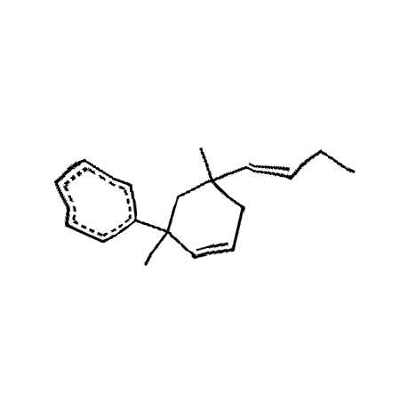 CCC=CC1(C)CC=CC(C)(c2ccccc2)C1